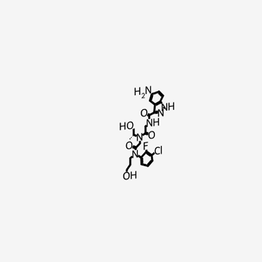 C[C@H](CO)N(CC(=O)N(CCCO)c1cccc(Cl)c1F)C(=O)CNC(=O)c1n[nH]c2ccc(N)cc12